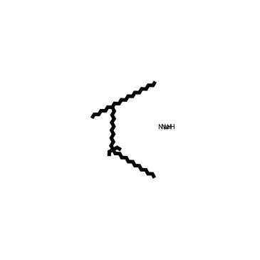 CCCCCCCCCCCCC[C](CCCCCC)CCCCCCCCCCC(CC)(CC)CCCCCCCCCCCCC.[NaH].[NaH]